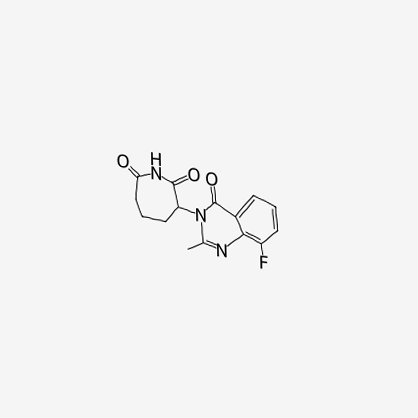 Cc1nc2c(F)cccc2c(=O)n1C1CCCC(=O)NC1=O